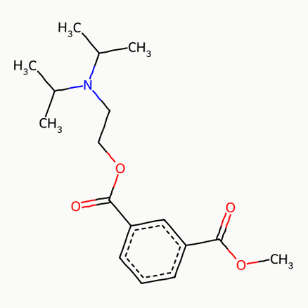 COC(=O)c1cccc(C(=O)OCCN(C(C)C)C(C)C)c1